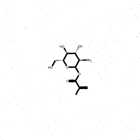 C=C(C)C(=O)OC1O[C@H](CO)[C@@H](O)[C@H](O)[C@H]1N